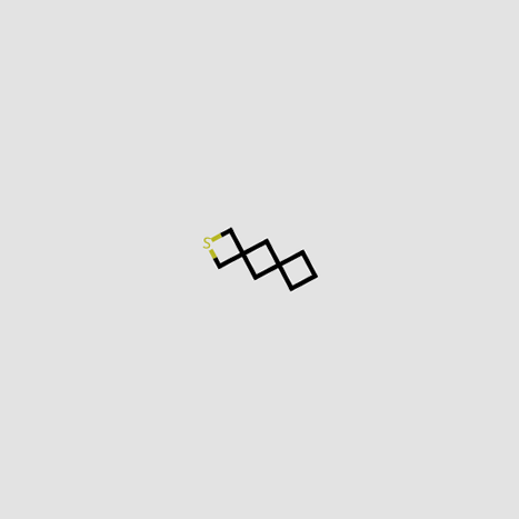 C1CC2(C1)CC1(CSC1)C2